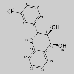 O[C@@H]1C(c2cccc(Cl)c2)Oc2ccccc2[C@@H]1O